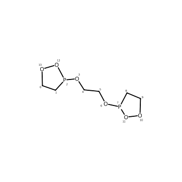 C1CP(OCCOP2CCOO2)OO1